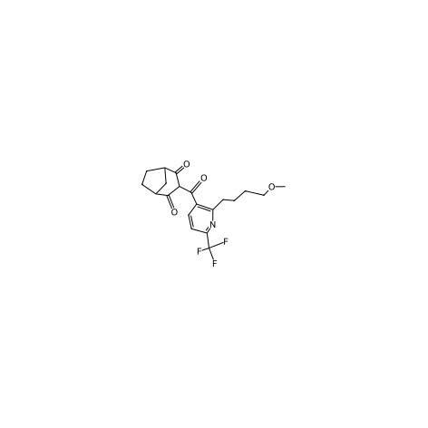 COCCCCc1nc(C(F)(F)F)ccc1C(=O)C1C(=O)C2CCC(C2)C1=O